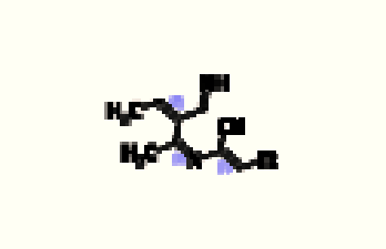 C\C=C(C=N)/C(C)=N\C(C#N)=C\CC